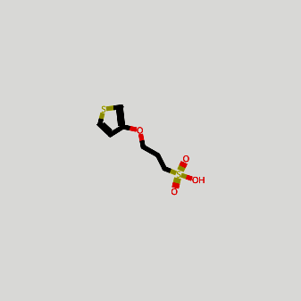 O=S(=O)(O)CCCOc1[c]s[c]c1